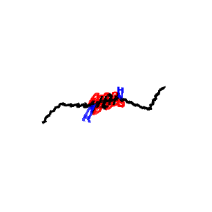 CCCCCCCC/C=C\CCCCCCCC(=O)NC(=O)O[C@H]1CO[C@H]2[C@@H]1OC[C@H]2OC(=O)NC(=O)CCCCCCC/C=C\CCCCCCCC